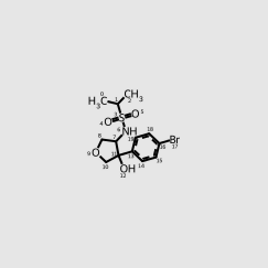 CC(C)S(=O)(=O)NC1COCC1(O)c1ccc(Br)cc1